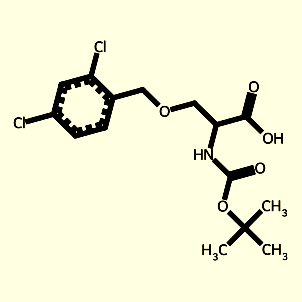 CC(C)(C)OC(=O)NC(COCc1ccc(Cl)cc1Cl)C(=O)O